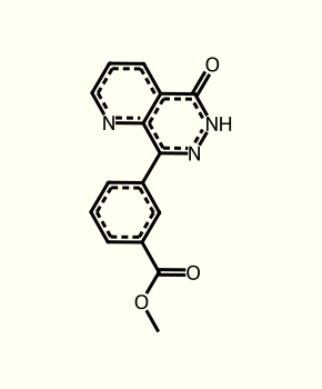 COC(=O)c1cccc(-c2n[nH]c(=O)c3cccnc23)c1